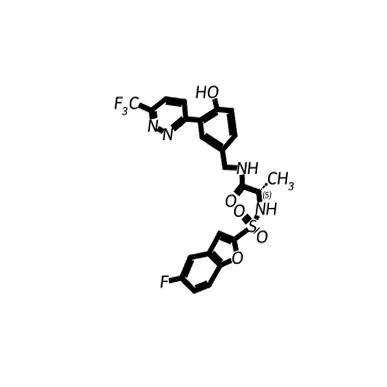 C[C@H](NS(=O)(=O)c1cc2cc(F)ccc2o1)C(=O)NCc1ccc(O)c(-c2ccc(C(F)(F)F)nn2)c1